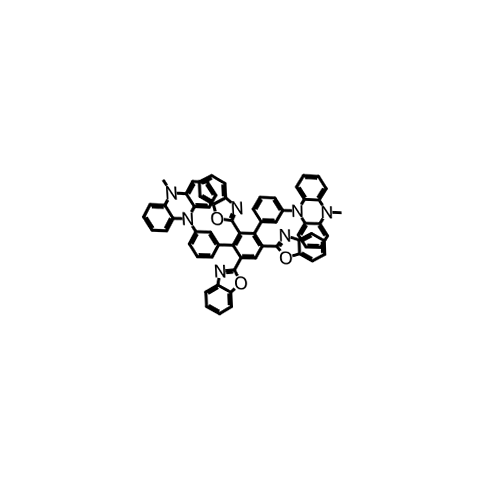 CN1c2ccccc2N(c2cccc(-c3c(-c4nc5ccccc5o4)cc(-c4nc5ccccc5o4)c(-c4cccc(N5c6ccccc6N(C)c6ccccc65)c4)c3-c3nc4ccccc4o3)c2)c2ccccc21